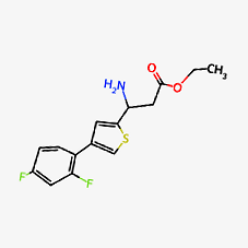 CCOC(=O)CC(N)c1cc(-c2ccc(F)cc2F)cs1